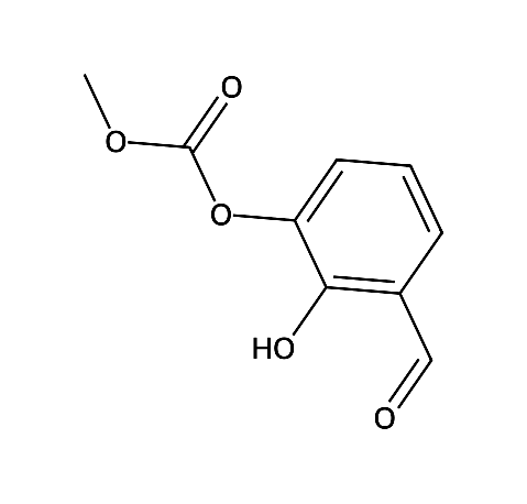 COC(=O)Oc1cccc(C=O)c1O